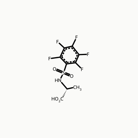 C[C@@H](NS(=O)(=O)c1c(F)c(F)c(F)c(F)c1F)C(=O)O